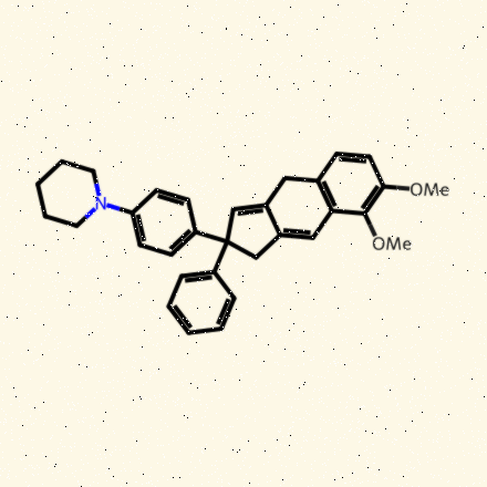 COc1ccc2c(c1OC)C=C1CC(c3ccccc3)(c3ccc(N4CCCCC4)cc3)C=C1C2